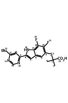 CC(C)(Sc1cc2cc(-c3cc(C(C)(C)C)ncn3)[nH]c2c(F)c1F)C(=O)O